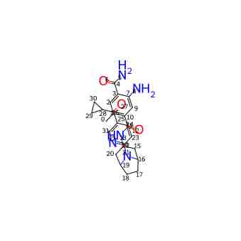 Cc1cc(C(N)=O)c(N)cc1C(=O)NC1CC2CCC(C1)N2c1ccc(C(=O)C2CC2)cn1